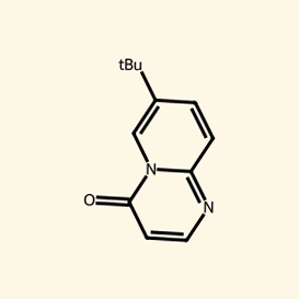 CC(C)(C)c1ccc2nccc(=O)n2c1